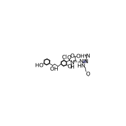 COCCN/C(=N/C1C=N1)NC[C@H](NC(=O)c1c(Cl)cc(CCC(O)c2cccc(O)c2)cc1Cl)C(=O)O